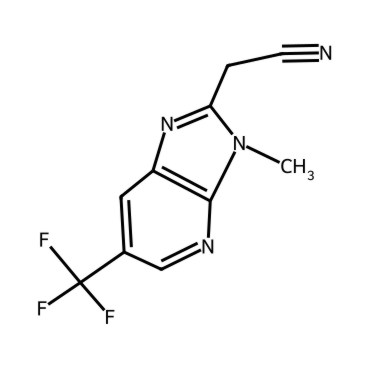 Cn1c(CC#N)nc2cc(C(F)(F)F)cnc21